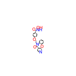 O=C(NO)c1ccc(OCCN2C(=O)c3ccncc3Oc3ccccc32)cc1